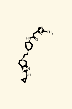 Cc1ncc(CC(=O)N[C@H]2CC[C@H](CCN3CCc4sc(NC5CC5)nc4C3)CC2)s1